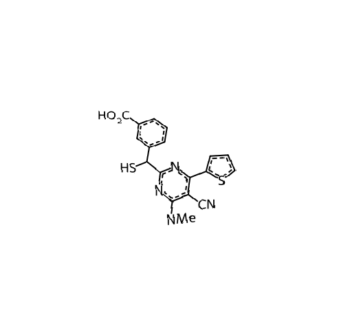 CNc1nc(C(S)c2cccc(C(=O)O)c2)nc(-c2cccs2)c1C#N